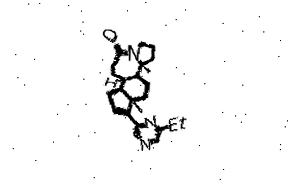 CCc1cncc(C2=CCC3[C@@H]4CCC(=O)N5CCC[C@]5(C)C4CC[C@]23C)n1